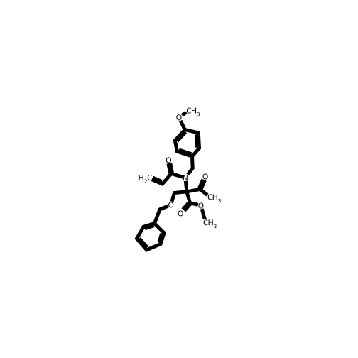 C=CC(=O)N(Cc1ccc(OC)cc1)C(COCc1ccccc1)(C(C)=O)C(=O)OC